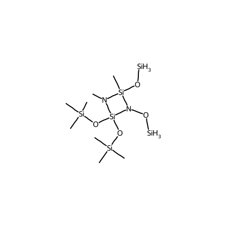 CN1[Si](C)(O[SiH3])N(O[SiH3])[Si]1(O[Si](C)(C)C)O[Si](C)(C)C